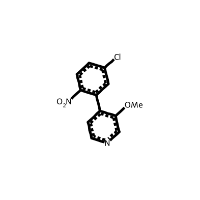 COc1cnccc1-c1cc(Cl)ccc1[N+](=O)[O-]